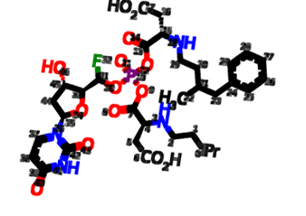 CC(C)CCN[C@@H](CC(=O)O)C(=O)OP(=O)(OC(=O)[C@H](CC(=O)O)NCCC(C)Cc1ccccc1)OC(F)[C@H]1O[C@@H](n2ccc(=O)[nH]c2=O)C[C@@H]1O